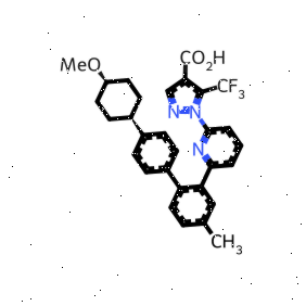 CO[C@H]1CC[C@@H](c2ccc(-c3ccc(C)cc3-c3cccc(-n4ncc(C(=O)O)c4C(F)(F)F)n3)cc2)CC1